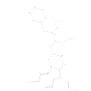 CCOC(=O)Cn1c2c(c3cc(F)ccc31)CC(N=C(OC(C)(C)C)C(CC(=O)O)Cc1ccccc1)CC2